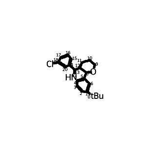 CC(C)(C)c1ccc2c(c1)C1OCCCC1C(c1cccc(Cl)c1)N2